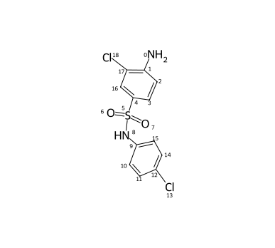 Nc1ccc(S(=O)(=O)Nc2ccc(Cl)cc2)cc1Cl